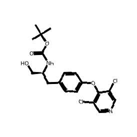 CC(C)(C)OC(=O)N[C@H](CO)Cc1ccc(Oc2c(Cl)cncc2Cl)cc1